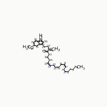 CCCC/C=C\C/C=C\C/C=C\C/C=C\CCCC(=O)N(C)CCc1c[nH]c2ccc(OC)cc12